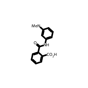 CNc1cccc(NC(=O)c2ccccc2C(=O)O)c1